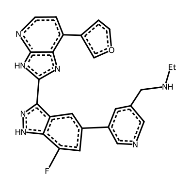 CCNCc1cncc(-c2cc(F)c3[nH]nc(-c4nc5c(-c6ccoc6)ccnc5[nH]4)c3c2)c1